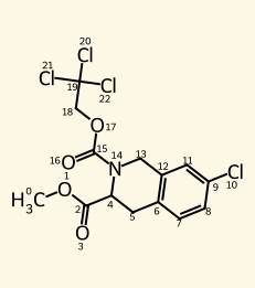 COC(=O)C1Cc2ccc(Cl)cc2CN1C(=O)OCC(Cl)(Cl)Cl